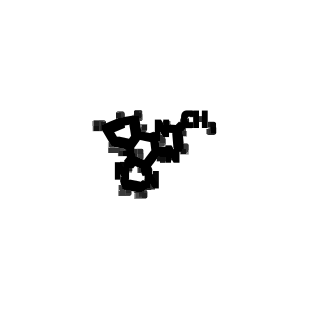 Cc1cnc2c(n1)c1ccccc1c1nccnc12